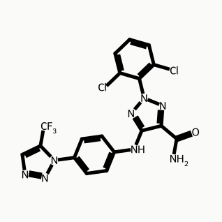 NC(=O)c1nn(-c2c(Cl)cccc2Cl)nc1Nc1ccc(-n2nncc2C(F)(F)F)cc1